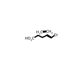 C=C.CCC=CCCC(=O)O